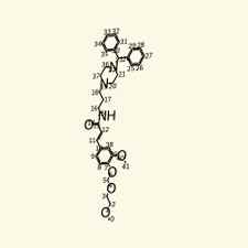 COCCOCOc1ccc(C=CC(=O)NCCCN2CCN(C(c3ccccc3)c3ccccc3)CC2)cc1OC